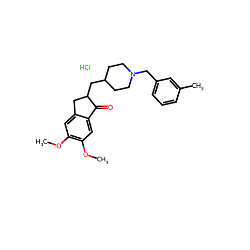 COc1cc2c(cc1OC)C(=O)C(CC1CCN(Cc3cccc(C)c3)CC1)C2.Cl